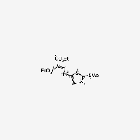 CCOC(=O)C(=CNc1cnc(SC)s1)C(=O)OCC